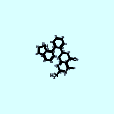 Cc1nc(N)nc2c1C(=O)CC(c1ccccc1-c1cccc3cc[nH]c13)C2